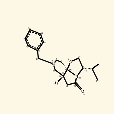 CC(C)[C@H]1CO[C@]23CCN(Cc4ccccc4)C[C@H]2CC(=O)N13